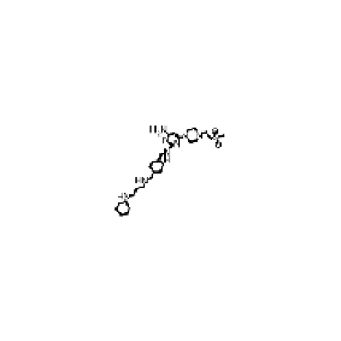 CS(=O)(=O)CCN1CCN(c2cc(N)nc(NCC3CCC(CNCCCNC4CCCCC4)CC3)n2)CC1